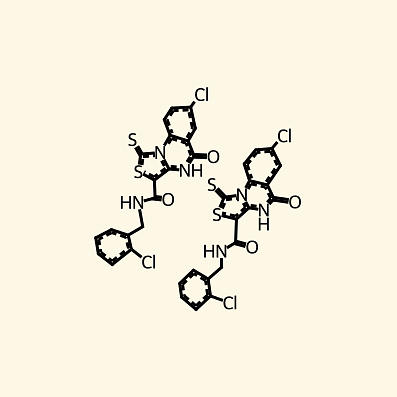 O=C(NCc1ccccc1Cl)c1sc(=S)n2c1[nH]c(=O)c1cc(Cl)ccc12.O=C(NCc1ccccc1Cl)c1sc(=S)n2c1[nH]c(=O)c1cc(Cl)ccc12